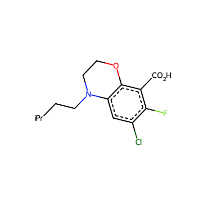 CC(C)CCN1CCOc2c1cc(Cl)c(F)c2C(=O)O